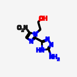 Nc1nnc(-c2ncc([N+](=O)[O-])n2CCO)[nH]1